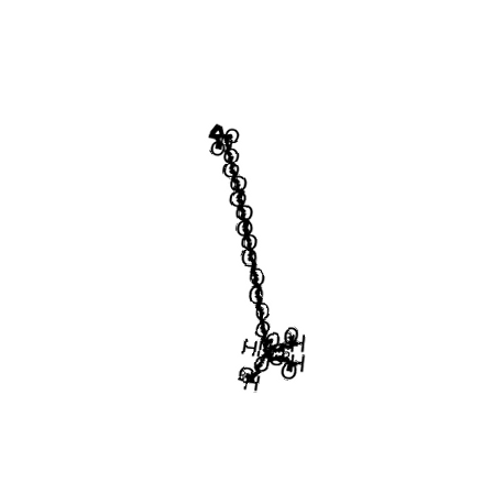 [3H]C(=O)CCOCC(COCCC([3H])=O)(COCCC([3H])=O)NC(=O)CCOCCOCCOCCOCCOCCOCCOCCOCCOCCOCCOCCOCCN1C(=O)c2ccccc2C1=O